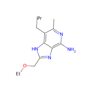 CCOCc1nc2c(N)nc(C)c(CC(C)C)c2[nH]1